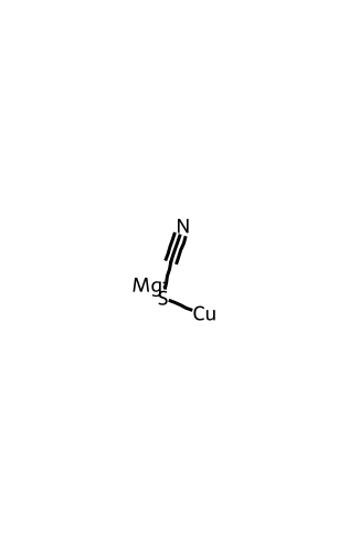 N#C[S][Cu].[Mg]